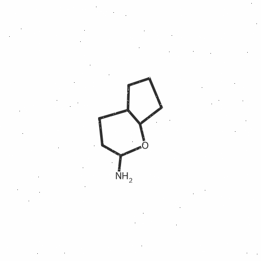 NC1CCC2CCCC2O1